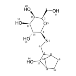 OC[C@H]1O[C@@H](SCC2C3CCC(C3)C2O)[C@H](O)[C@@H](O)[C@H]1O